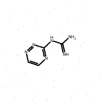 N=C(N)Nc1nccnn1